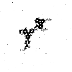 COc1ccc(C(OCC/[N+](C)=c2\ccc3c(-c4cc(C)c5c(c4)OCCN5)c4ccc(N5CCN(C(=O)CCO)CC5)cc4oc-3c2)(c2ccccc2)c2ccc(OC)cc2)cc1